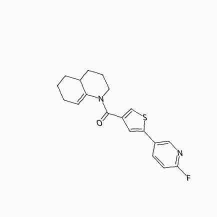 O=C(c1csc(-c2ccc(F)nc2)c1)N1CCCC2CCCC=C21